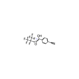 N#Cc1ccc(/C(O)=C2\OC2C(F)(C(F)(F)F)C(F)(F)F)cc1